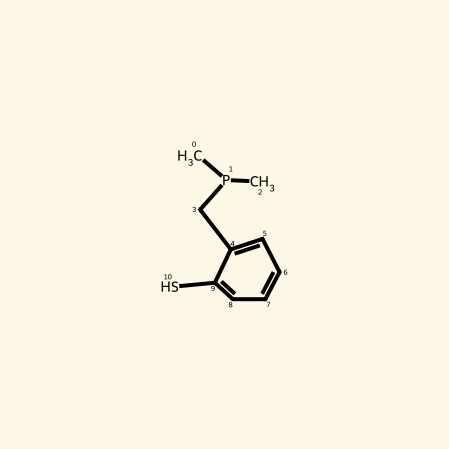 CP(C)Cc1ccccc1S